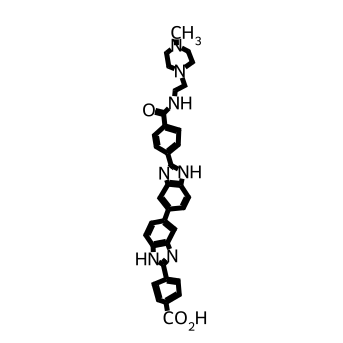 CN1CCN(CCNC(=O)c2ccc(-c3nc4cc(-c5ccc6[nH]c(-c7ccc(C(=O)O)cc7)nc6c5)ccc4[nH]3)cc2)CC1